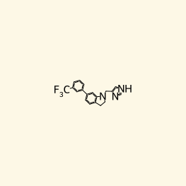 FC(F)(F)c1cccc(-c2ccc3c(c2)N(Cc2c[nH]cn2)CC3)c1